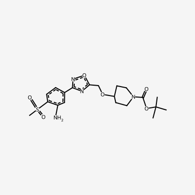 CC(C)(C)OC(=O)N1CCC(OCc2nc(-c3ccc(S(C)(=O)=O)c(N)c3)no2)CC1